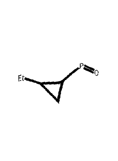 CCC1CC1P=O